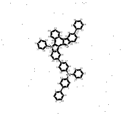 c1ccc(-c2ccc(N(c3ccccc3)c3ccc(-c4ccc5c(c4)c4c6sc7ccc(-c8ccccc8)cc7c6c6ccccc6c4n5-c4ccccc4)cc3)cc2)cc1